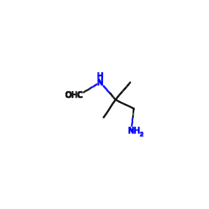 CC(C)(CN)NC=O